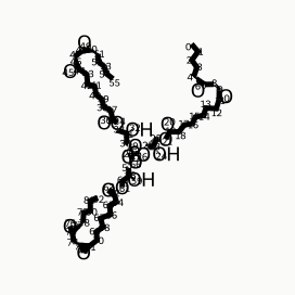 CCCCC[C@@H]1OC1C[C@@H]1OC1CCCCCCCC(=O)OC[C@H](O)COP(=O)(OC[C@@H](O)COC(=O)CCCCCCCC1O[C@H]1CC1O[C@H]1CCCCC)OC[C@@H](O)COC(=O)CCCCCCCC1O[C@H]1CC1O[C@H]1CCCCC